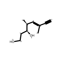 C#C/C(C)=C/[C@H](C)[C@@H](O)CCO